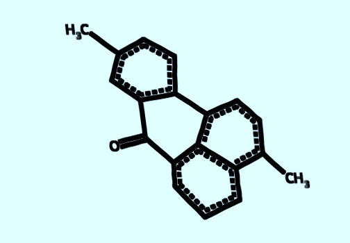 Cc1ccc2c(c1)C(=O)c1cccc3c(C)ccc-2c13